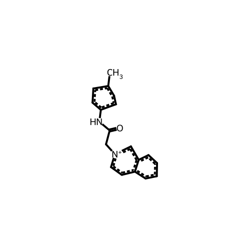 Cc1ccc(NC(=O)C[n+]2ccc3ccccc3c2)cc1